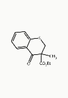 CCOC(=O)C1(C)CSc2ccccc2C1=O